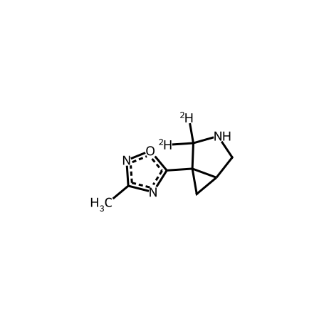 [2H]C1([2H])NCC2CC21c1nc(C)no1